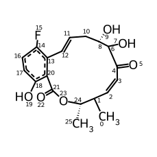 CC1/C=C\C(=O)C(O)[C@@H](O)C/C=C/c2c(F)ccc(O)c2C(=O)O[C@H]1C